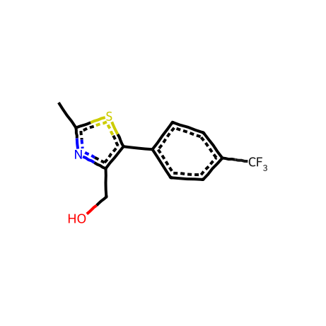 Cc1nc(CO)c(-c2ccc(C(F)(F)F)cc2)s1